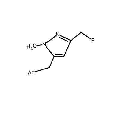 CC(=O)Cc1cc(CF)nn1C